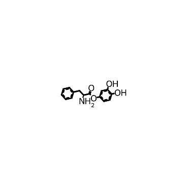 N[C@@H](Cc1ccccc1)C(=O)Oc1ccc(O)c(O)c1